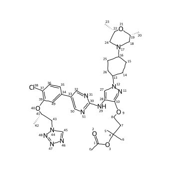 CC(=O)OC(C)(C)CCOc1nn(C2CCC(N3C[C@@H](C)O[C@@H](C)C3)CC2)cc1Nc1ncc(-c2ccc(Cl)c(O[C@@H](C)Cn3cnnn3)c2)cn1